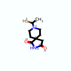 CC(S)N1CCC2(CC1)CC(=O)NC2=O